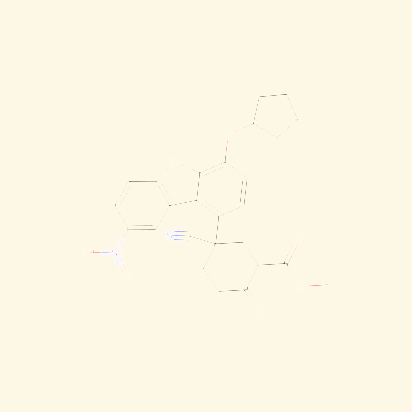 COC(=O)C1CC(C#N)(c2ccc(OC3CCCC3)c3oc4ccc([N+](=O)[O-])cc4c23)CCC1=O